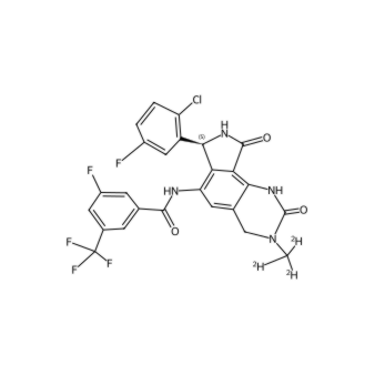 [2H]C([2H])([2H])N1Cc2cc(NC(=O)c3cc(F)cc(C(F)(F)F)c3)c3c(c2NC1=O)C(=O)N[C@@H]3c1cc(F)ccc1Cl